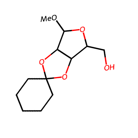 COC1OC(CO)C2OC3(CCCCC3)OC12